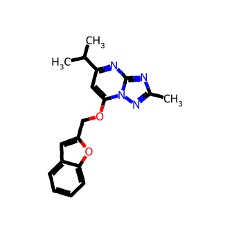 Cc1nc2nc(C(C)C)cc(OCc3cc4ccccc4o3)n2n1